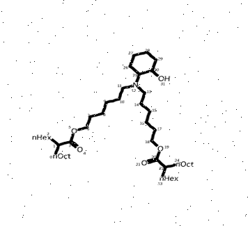 CCCCCCCCC(CCCCCC)C(=O)OCCCCCCN(CCCCCCOC(=O)C(CCCCCC)CCCCCCCC)C1CCCCC1O